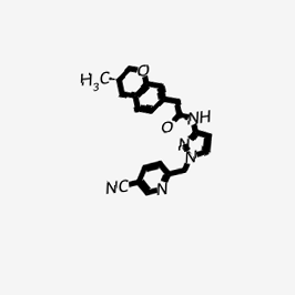 C[C@@H]1COc2cc(CC(=O)Nc3ccn(Cc4ccc(C#N)cn4)n3)ccc2C1